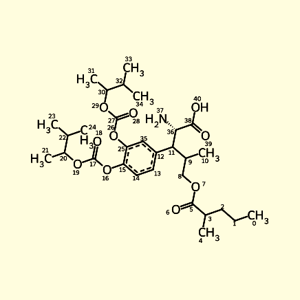 CCCC(C)C(=O)OCC(C)C(c1ccc(OC(=O)OC(C)C(C)C)c(OC(=O)OC(C)C(C)C)c1)[C@H](N)C(=O)O